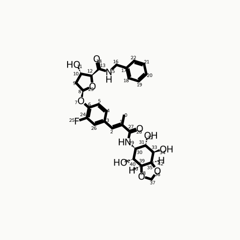 CC(=Cc1ccc(O[C@H]2C[C@H](O)[C@@H](C(=O)NCc3ccccc3)O2)c(F)c1)C(=O)N[C@@H]1[C@H](O)[C@@H](O)[C@H]2OCO[C@H]2[C@@H]1O